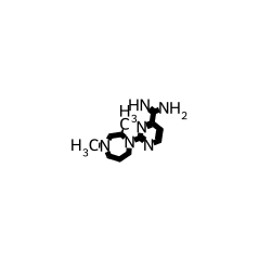 C[C@H]1CN(C)CCCN1c1nccc(C(=N)N)n1